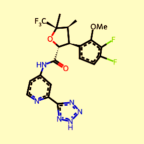 COc1c([C@H]2[C@H](C(=O)Nc3ccnc(-c4nn[nH]n4)c3)O[C@@](C)(C(F)(F)F)[C@H]2C)ccc(F)c1F